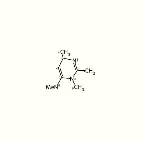 CNC1=C[C@@H](C)N=C(C)N1C